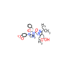 Cc1c(CC(=O)O)c(C(C)C)nn1CC(=O)N[C@@H](Cc1ccccc1)C(=O)N(C)c1ccc2c(c1)OCO2